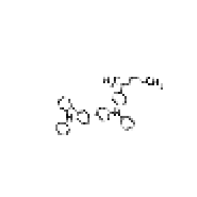 C=C/C=C\C=C(/C)c1ccc(N(c2ccccc2)c2ccc(-c3ccc4c(c3)c3ccccc3n4-c3ccccc3)cc2)cc1